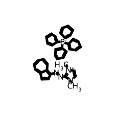 Cn1cc[n+](C)c1N=Nc1ccc2cccccc1-2.c1ccc([B-](c2ccccc2)(c2ccccc2)c2ccccc2)cc1